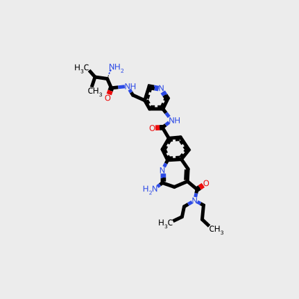 CCCN(CCC)C(=O)C1=Cc2ccc(C(=O)Nc3cncc(CNC(=O)[C@@H](N)C(C)C)c3)cc2N=C(N)C1